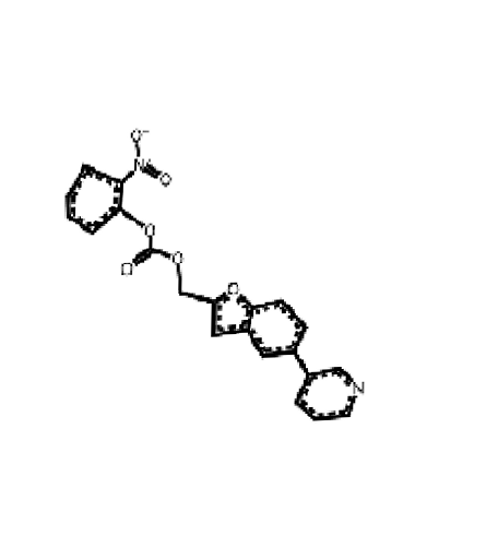 O=C(OCc1cc2cc(-c3cccnc3)ccc2o1)Oc1ccccc1[N+](=O)[O-]